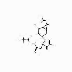 C/C=C(/COC(=O)C(C)(C)C)C[C@]1(O)C(=O)C(C)=C[C@H]1[C@]1(O)CC2C(C)(C)[C@]2(OC(C)=O)[C@H](OC)[C@H]1C